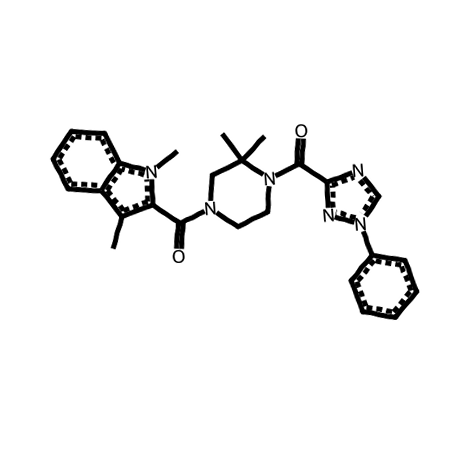 Cc1c(C(=O)N2CCN(C(=O)c3ncn(-c4ccccc4)n3)C(C)(C)C2)n(C)c2ccccc12